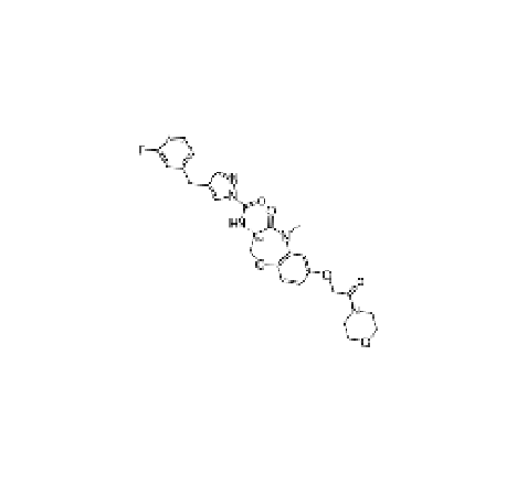 CN1C(=O)[C@@H](NC(=O)n2cc(Cc3cccc(F)c3)cn2)COc2ccc(OCC(=O)N3CCOCC3)cc21